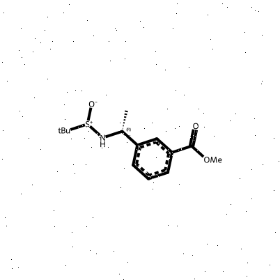 COC(=O)c1cccc([C@@H](C)N[S+]([O-])C(C)(C)C)c1